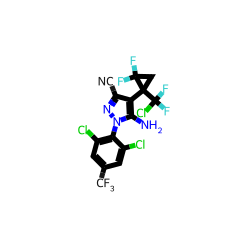 N#Cc1nn(-c2c(Cl)cc(C(F)(F)F)cc2Cl)c(N)c1C1(C(F)(F)Cl)CC1(F)F